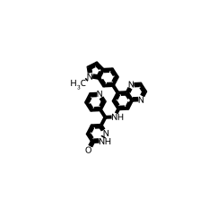 Cn1ccc2ccc(-c3cc(NC(c4cccnc4)c4ccc(=O)[nH]n4)cc4nccnc34)cc21